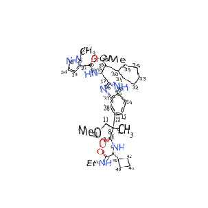 CCNC(=O)[C@H](NC(=O)C(C)(COC)c1ccc2[nH]c(C(NC(=O)c3ccnn3C)C(OC)C3CCCCC3)nc2c1)C1CCC1